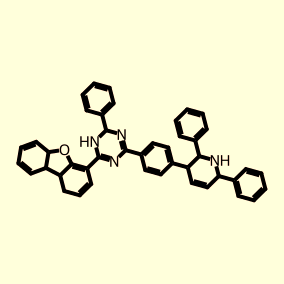 C1=CC2OC3=C(C4=NC(c5ccc(C6C=CC(c7ccccc7)NC6c6ccccc6)cc5)=NC(c5ccccc5)N4)C=CCC3C2C=C1